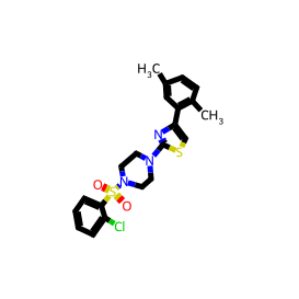 Cc1ccc(C)c(-c2csc(N3CCN(S(=O)(=O)c4ccccc4Cl)CC3)n2)c1